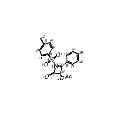 CC(=O)O[C@H]1C(=O)N(S(=O)(=O)c2ccc(C)cc2)[C@H]1c1ccccc1